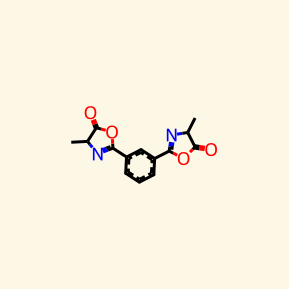 CC1N=C(c2cccc(C3=NC(C)C(=O)O3)c2)OC1=O